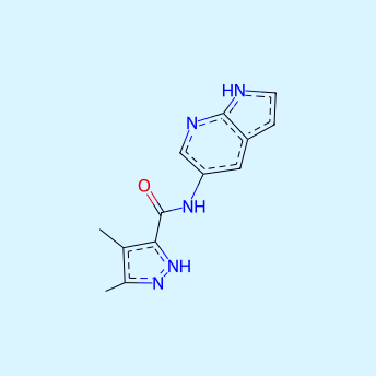 Cc1n[nH]c(C(=O)Nc2cnc3[nH]ccc3c2)c1C